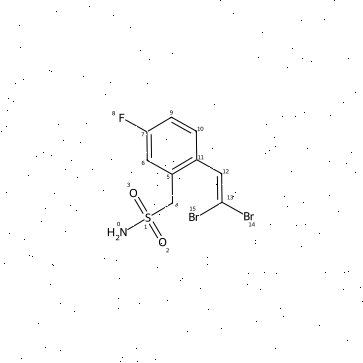 NS(=O)(=O)Cc1cc(F)ccc1C=C(Br)Br